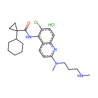 CNCCCN(C)c1ccc2c(NC(=O)C3(C4CCCCC4)CC3)c(Cl)ccc2n1.Cl